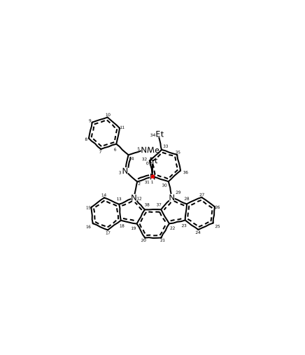 CC/N=C(\N=C(/NC)c1ccccc1)n1c2ccccc2c2ccc3c4ccccc4n(-c4ccc(CC)cc4)c3c21